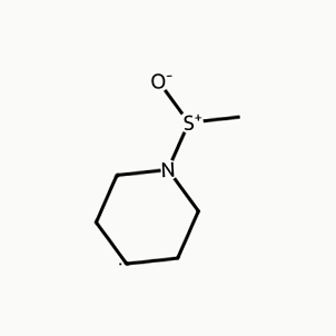 C[S+]([O-])N1CC[CH]CC1